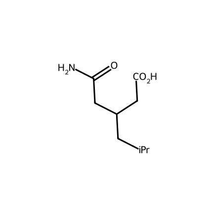 CC(C)CC(CC(N)=O)CC(=O)O